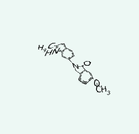 COc1ccc2c(c1)C(=O)N(c1ccc3cc(C)[nH]c3c1)C2